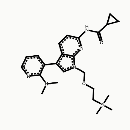 CN(C)c1ncccc1-c1cn(COCC[Si](C)(C)C)c2nc(NC(=O)C3CC3)ccc12